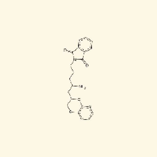 NC(CCCN1C(=O)c2ccccc2C1=O)CC1COc2cccnc2O1